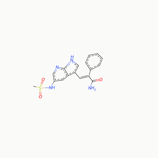 CS(=O)(=O)Nc1cnc2[nH]cc(/C=C(/C(N)=O)c3ccccc3)c2c1